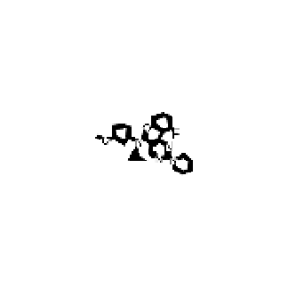 COc1cccc(N(C(=O)c2cnc(N3CCCCC3)nc2-c2ccccc2F)C2CC2)c1